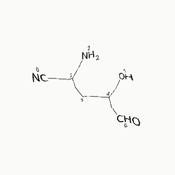 N#CC(N)CC(O)C=O